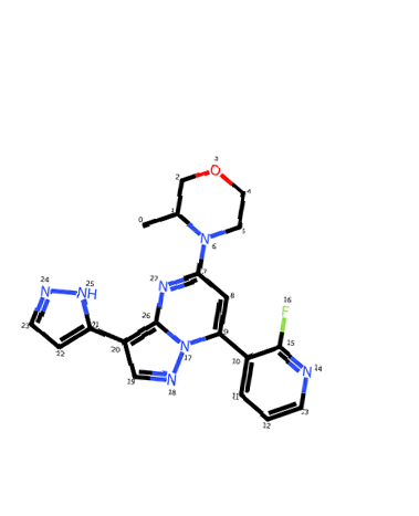 CC1COCCN1c1cc(-c2cccnc2F)n2ncc(-c3ccn[nH]3)c2n1